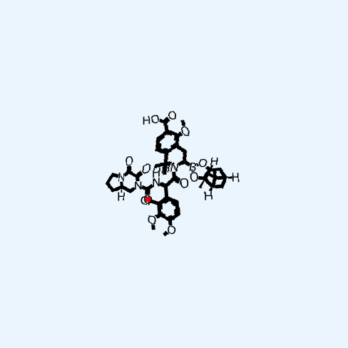 COc1ccc(C(NC(=O)N2C[C@H]3CCCN3C(=O)C2=O)C(=O)NC(Cc2c(C(C)(C)C)ccc(C(=O)O)c2OC)B2O[C@@H]3C[C@@H]4C[C@@H](C4(C)C)[C@]3(C)O2)c(Cl)c1OC